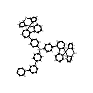 c1ccc(-c2cccc(-c3ccc(N(c4ccc(-c5cccc6c5-c5ccccc5C65c6ccccc6Oc6ccccc65)cc4)c4ccc(-c5cccc6c5-c5ccccc5C65c6ccccc6Oc6ccccc65)cc4)cc3)c2)cc1